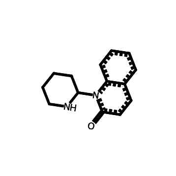 O=c1ccc2ccccc2n1C1CCCCN1